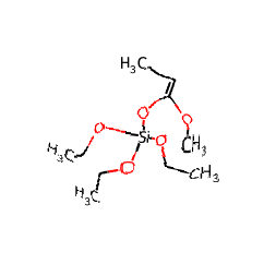 CC=C(OC)O[Si](OCC)(OCC)OCC